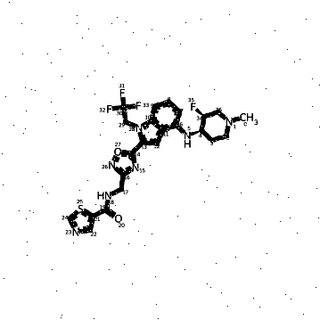 CN1CC[C@@H](Nc2cccc3c2cc(-c2nc(CNC(=O)c4cncs4)no2)n3CC(F)(F)F)[C@@H](F)C1